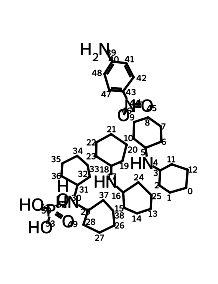 C1CCC(NC2CCCCC2)CC1.C1CCC(NC2CCCCC2)CC1.C1CCC(NC2CCCCC2)CC1.Nc1ccc([N+](=O)[O-])cc1.O=P(O)(O)O